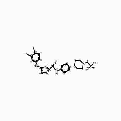 CP(=O)(O)C[C@H]1CC[C@H](c2ccc(NC(=O)c3nnc(Nc4ccc(F)c(F)c4)o3)cc2)CC1